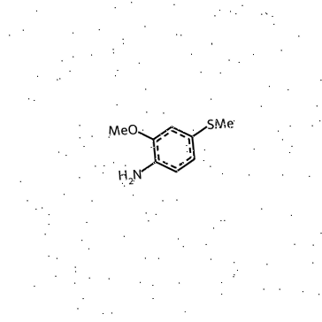 COc1cc(SC)ccc1N